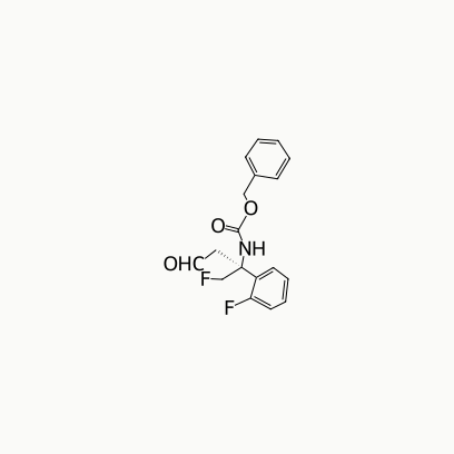 O=CC[C@](CF)(NC(=O)OCc1ccccc1)c1ccccc1F